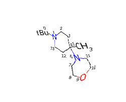 CC(C)(C)N1CCC(C)(N2CCOCC2)CC1